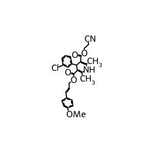 COc1ccc(C=CCOC(=O)C2=C(C)NC(C)=C(C(=O)OCCC#N)C2c2cccc(Cl)c2)cc1